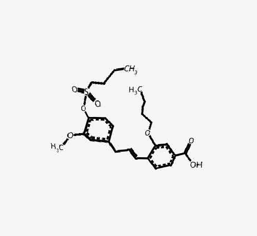 CCCCOc1cc(C(=O)O)ccc1C=CCc1ccc(OS(=O)(=O)CCCC)c(OC)c1